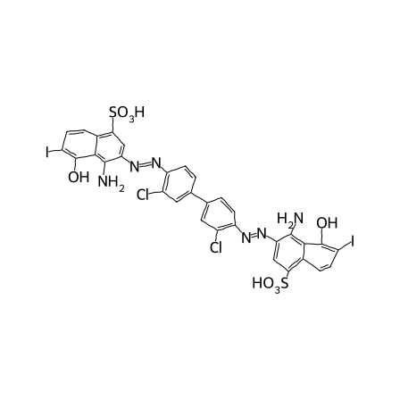 Nc1c(/N=N/c2ccc(-c3ccc(/N=N/c4cc(S(=O)(=O)O)c5ccc(I)c(O)c5c4N)c(Cl)c3)cc2Cl)cc(S(=O)(=O)O)c2ccc(I)c(O)c12